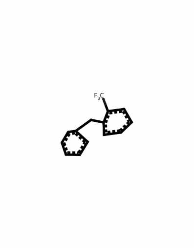 FC(F)(F)c1ccccc1[CH]c1ccccc1